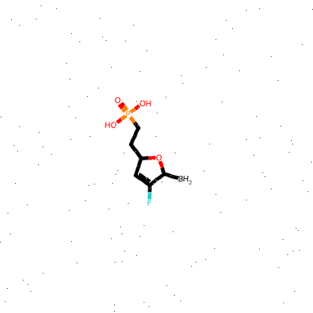 BC1OC(CCP(=O)(O)O)C=C1F